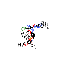 COc1ccc(CN(Cc2ccc(-n3nc(C(=O)NCCCN(C)C)c4cnc(Cl)cc43)c(OC)c2)S(C)(=O)=O)c(OC)c1